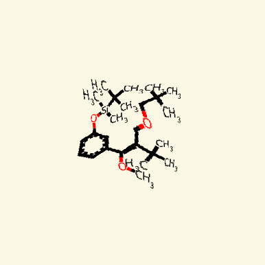 CO/C(=C(/COCC(C)(C)C)C(C)(C)C)c1cccc(O[Si](C)(C)C(C)(C)C)c1